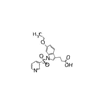 CCOc1ccc2c(CCC(=O)O)cn(S(=O)(=O)c3cccnc3)c2c1